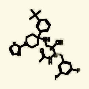 CC(=O)N[C@@H](Cc1cc(F)cc(F)c1)[C@H](O)CNC1(c2cccc(C(C)(C)C)c2)CCN(c2nccs2)CC1